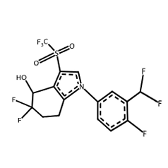 O=S(=O)(c1cn(-c2ccc(F)c(C(F)F)c2)c2c1C(O)C(F)(F)CC2)C(F)(F)F